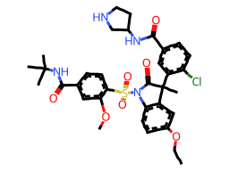 CCOc1ccc2c(c1)C(C)(c1cc(C(=O)NC3CCNC3)ccc1Cl)C(=O)N2S(=O)(=O)c1ccc(C(=O)NC(C)(C)C)cc1OC